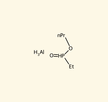 CCCO[PH](=O)CC.[AlH3]